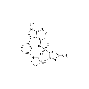 Cc1nn(C)cc1S(=O)(=O)Nc1ccnc2c1c(-c1cccc(N3CCCC3)c1)cn2C(C)C